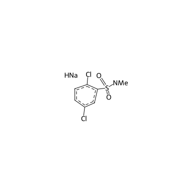 CNS(=O)(=O)c1cc(Cl)ccc1Cl.[NaH]